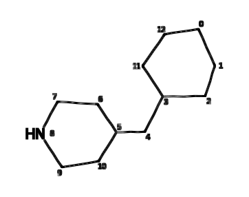 C1CCC(CC2CCNCC2)CC1